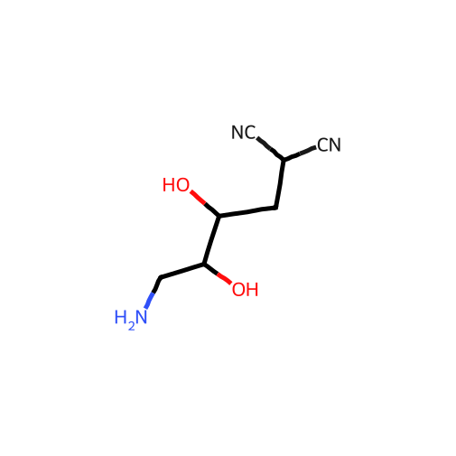 N#CC(C#N)CC(O)C(O)CN